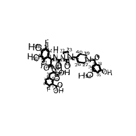 O=C(O)c1c(F)ccc2c1OB(O)[C@@H](NC(=O)C(NC(=O)N1CCN(C3CCN(C(=O)c4cc(O)cc(O)c4)CC3)C1=O)c1cc(F)c(O)c(O)c1F)C2